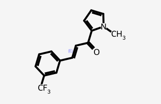 Cn1cccc1C(=O)/C=C/c1cccc(C(F)(F)F)c1